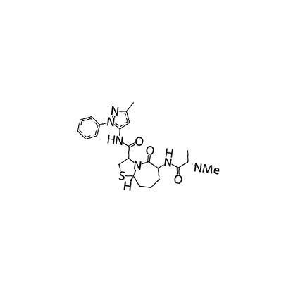 CN[C@@H](C)C(=O)NC1CCC[C@@H]2SCC(C(=O)Nc3cc(C)nn3-c3ccccc3)N2C1=O